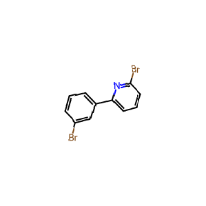 Brc1cccc(-c2cccc(Br)n2)c1